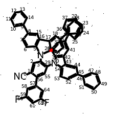 N#Cc1cc(-n2c3ccc(-c4ccccc4)cc3c3cc(-c4ccccc4)ccc32)c(-n2c3ccc(-c4ccccc4)cc3c3cc(-c4ccccc4)ccc32)cc1-c1cc(F)cc(F)c1